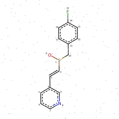 [O-][S+](/C=C/c1cccnc1)Cc1ccc(F)cc1